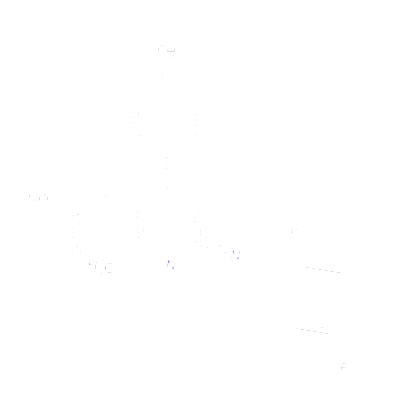 Cc1ccc(-c2c(CC(=O)O)c(C)nc3c2ccn3Cc2cc(F)ccc2F)cc1